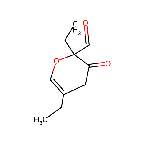 CCC1=COC(C=O)(CC)C(=O)C1